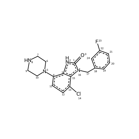 O=c1[nH]c2c(N3CCNCC3)ccc(Cl)c2n1Cc1cccc(F)c1